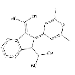 CC1=CC(=C2C(=C(C#N)C#N)c3ccccc3C2C(C#N)C#N)C=C(C)O1